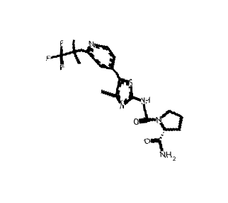 Cc1nc(NC(=O)N2CCC[C@@H]2C(N)=O)sc1-c1ccnc(C(C)(C)C(F)(F)F)c1